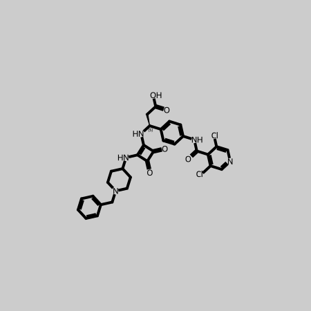 O=C(O)C[C@H](Nc1c(NC2CCN(Cc3ccccc3)CC2)c(=O)c1=O)c1ccc(NC(=O)c2c(Cl)cncc2Cl)cc1